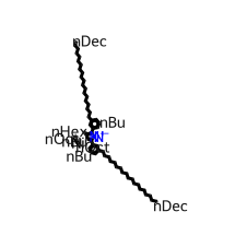 CCCCCCCCCCCCCCCCCCCCCCCCCCCCCc1cc(CCCC)cc(C2=C(CCCC)C(CCCCCC)=C(c3cc(CCCC)cc(CCCCCCCCCCCCCCCCCCCCCCCCCCCCC)c3)[N+]2=[N-])c1.CCCCCCC[CH2][Ni][CH2]CCCCCCC